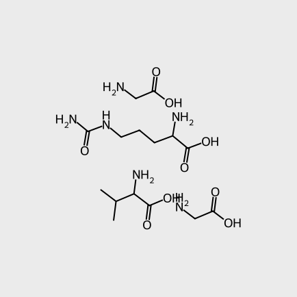 CC(C)C(N)C(=O)O.NC(=O)NCCCC(N)C(=O)O.NCC(=O)O.NCC(=O)O